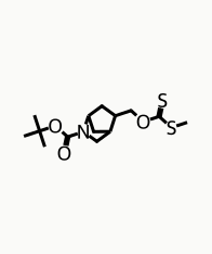 CSC(=S)OCC1CC2CC1CN2C(=O)OC(C)(C)C